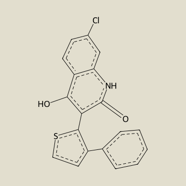 O=c1[nH]c2cc(Cl)ccc2c(O)c1-c1sccc1-c1ccccc1